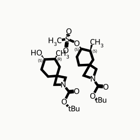 C[C@@H]1CC2(CC[C@@H]1O)CN(C(=O)OC(C)(C)C)C2.C[C@H]1CC2(CC[C@@H]1OS(C)(=O)=O)CN(C(=O)OC(C)(C)C)C2